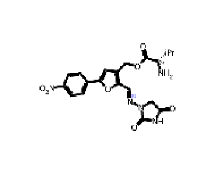 CC(C)[C@H](N)C(=O)OCc1cc(-c2ccc([N+](=O)[O-])cc2)oc1/C=N/N1CC(=O)NC1=O